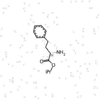 CC(C)OC(=O)[C@@H](N)CCc1ccccc1